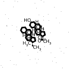 CC(=O)[C@H]1CC[C@H]2[C@@H]3CC[C@@H]4C[C@H](O)CC[C@]4(C)[C@H]3CC[C@]12C.CC[C@H]1CC[C@H]2[C@@H]3CCC4CCCC[C@]4(C)[C@H]3CC[C@]12C